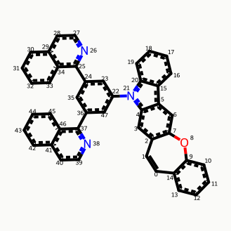 C1=Cc2cc3c(cc2Oc2ccccc21)c1ccccc1n3-c1cc(-c2nccc3ccccc23)cc(-c2nccc3ccccc23)c1